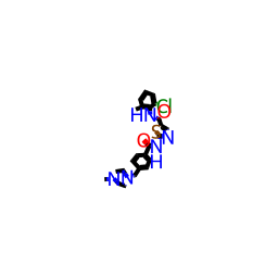 Cc1cccc(Cl)c1NC(=O)c1cnc(NC(=O)c2ccc(CN3CCN(C)CC3)cc2)s1